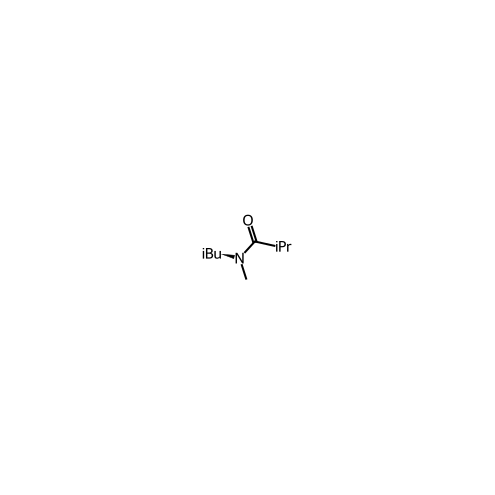 CC[C@H](C)N(C)C(=O)C(C)C